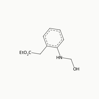 CCOC(=O)Cc1ccccc1NCO